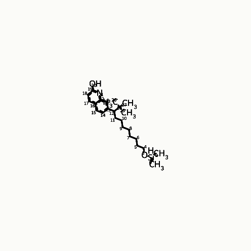 C[SiH](C)OCCCCCCCCC(c1ccc2ccc(O)nc2c1)C(C)(C)C